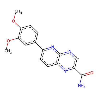 COc1ccc(-c2ccc3nc(C(N)=O)[c]nc3n2)cc1OC